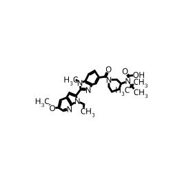 CCn1c(-c2nc3cc(C(=O)N4CCCC(N(C(=O)O)C(C)(C)C)C4)ccc3n2C)cc2cc(OC)cnc21